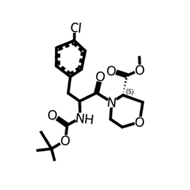 COC(=O)[C@@H]1COCCN1C(=O)C(Cc1ccc(Cl)cc1)NC(=O)OC(C)(C)C